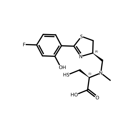 CN(C[C@@H]1CSC(c2ccc(F)cc2O)=N1)[C@H](CS)C(=O)O